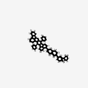 c1ccc(-c2c3cc4c5ccccc5c5cccc(c3c(-c3ccccc3)c3c6cccc7c(-c8ccc9cc(-c%10ccc%11sc%12ccccc%12c%11c%10)ccc9c8)ccc(c23)c76)c54)cc1